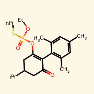 CCCSP(=O)(OCC)OC1=C(c2c(C)cc(C)cc2C)C(=O)CC(C(C)C)C1